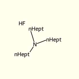 CCCCCCCN(CCCCCCC)CCCCCCC.F